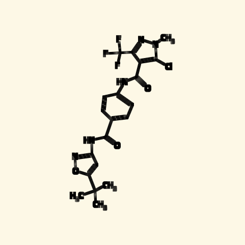 Cn1nc(C(F)(F)F)c(C(=O)Nc2ccc(C(=O)Nc3cc(C(C)(C)C)on3)cc2)c1Cl